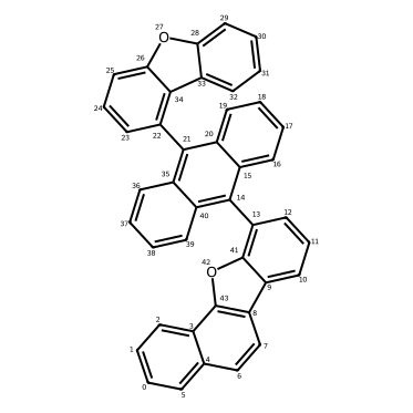 c1ccc2c(c1)ccc1c3cccc(-c4c5ccccc5c(-c5cccc6oc7ccccc7c56)c5ccccc45)c3oc21